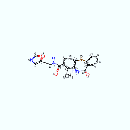 Cc1c(C(=O)NCc2cnco2)ccc2c1NC(=O)c1ccccc1S2